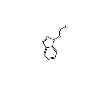 CCOOn1nnc2ccccc21